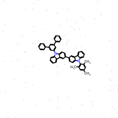 Cc1cc(C)c(-n2c3ccccc3c3cc(-c4ccc5c(c4)c4ccccc4n5-c4cc(-c5ccccc5)cc(-c5ccccc5)c4)ccc32)c(C)c1